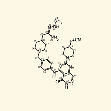 N#CCN1CCN(c2nc(Nc3ccc(CN4CCC(C/C(N)=N/NN)CC4)cc3)c3c(=O)[nH]ncc3n2)CC1